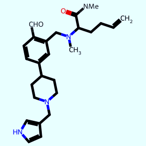 C=CCCC(C(=O)NC)N(C)Cc1cc(C2CCN(Cc3cc[nH]c3)CC2)ccc1C=O